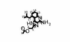 CC(=O)OCCc1nc2c(N)nc3cccc(CC(C)C)c3c2[nH]1